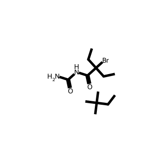 CCC(Br)(CC)C(=O)NC(N)=O.CCC(C)(C)C